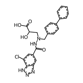 O=C(NN(Cc1ccc(-c2ccccc2)cc1)CC(O)C(=O)O)c1cc(Cl)c2[nH]nnc2c1